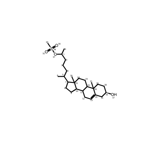 CC(CCCC(C)C1CCC2C3CC=C4C[C@H](O)CCC4(C)C3CCC12C)OS(C)(=O)=O